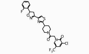 O=C(Cn1cc(C(F)(F)F)cc(Cl)c1=O)N1CCC(c2nc(C3=NOC(c4ccccc4F)C3)cs2)CC1